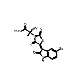 CCCC(C)(C(=O)OC)N1C(=O)C(=C2C(=O)Nc3ccc(Br)cc32)SC1=S